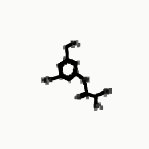 C[C@H](O)C(=O)Nc1cc(N)cc(CN)c1